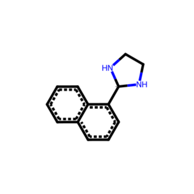 c1ccc2c([C]3NCCN3)cccc2c1